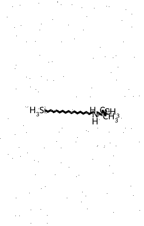 C[N+](C)(C)CCNCCCCCCCCCCCCCCCC[SiH3]